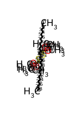 CCCCCCCCCCCCc1cc(-c2cc(CCCCCCCCCCCC)c(C3O[B-](C)(C)C(C)(C)O3)s2)sc1C1O[B-](C)(C)C(C)(C)O1